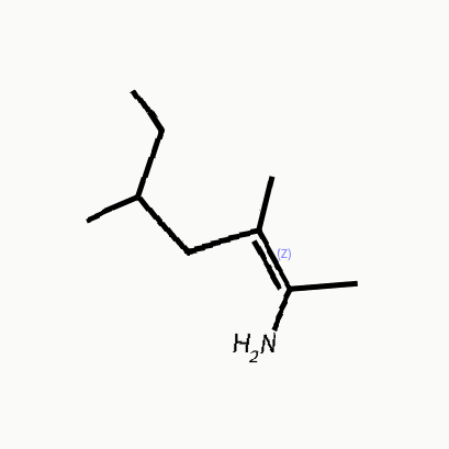 CCC(C)C/C(C)=C(/C)N